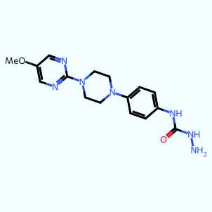 COc1cnc(N2CCN(c3ccc(NC(=O)NN)cc3)CC2)nc1